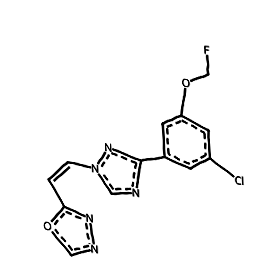 FCOc1cc(Cl)cc(-c2ncn(/C=C\c3nnco3)n2)c1